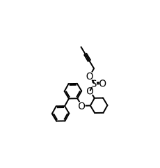 CC#CCOS(=O)OC1CCCCC1Oc1ccccc1-c1ccccc1